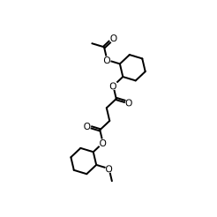 COC1CCCCC1OC(=O)CCC(=O)OC1CCCCC1OC(C)=O